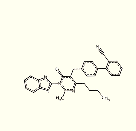 CCCCc1nc(C)n(-c2nc3ccccc3s2)c(=O)c1Cc1ccc(-c2ccccc2C#N)cc1